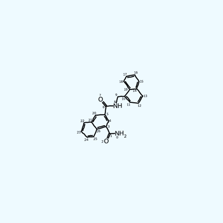 NC(=O)c1[c]c(C(=O)NCc2cccc3ccccc23)cc2ccccc12